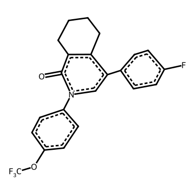 O=c1c2c(c(-c3ccc(F)cc3)cn1-c1ccc(OC(F)(F)F)cc1)CCCC2